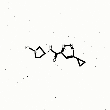 CC(C)N1CC[C@@H](NC(=O)c2cc(C3CC3)cnn2)C1